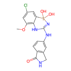 COc1cc(Cl)cc2c1NC(Nc1ccc3c(c1)CNC3=O)=NS2(O)O